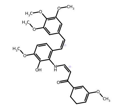 COC1=CCCC(C(=O)/C=C\Nc2c(/C=C\c3cc(OC)c(OC)c(OC)c3)ccc(OC)c2O)=C1